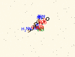 CC(OC(=O)OC1CCCCC1)OC(=O)C1=C(CSc2nnnn2CCN(C)C)CS[C@@H]2[C@H](NC(=O)Cc3csc(N)n3)C(=O)N12.Cl.Cl.O.O